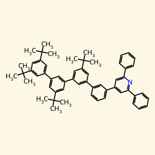 CC(C)(C)c1cc(-c2cccc(-c3cc(-c4ccccc4)nc(-c4ccccc4)c3)c2)cc(-c2cc(-c3cc(C(C)(C)C)cc(C(C)(C)C)c3)cc(C(C)(C)C)c2)c1